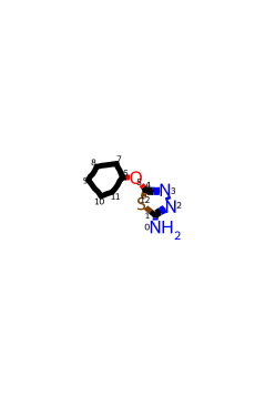 Nc1nnc(OC2CCCCC2)s1